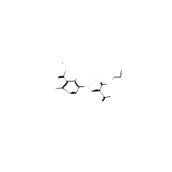 CCCOC(=O)C(=CNc1ccc(Cl)c(C(=O)OC)c1Cl)C(C)=O